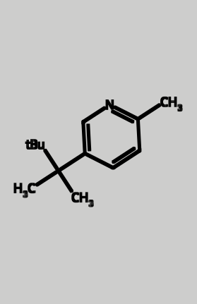 Cc1ccc(C(C)(C)C(C)(C)C)cn1